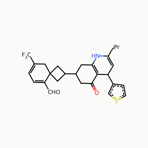 CC(C)C1=CC(c2ccsc2)C2=C(CC(C3CC4(CC(C(F)(F)F)=CC=C4C=O)C3)CC2=O)N1